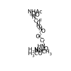 CC(=O)NC[C@H]1CN(c2ccc(N3CCN(C(=O)CCC(=O)c4ccc(CNC(=O)[C@H](C)NC(=O)[C@H](C)N)cc4)CC3)c(F)c2)C(=O)O1